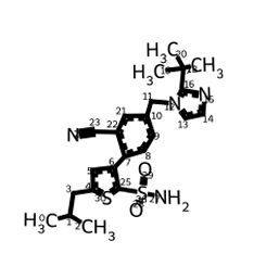 CC(C)Cc1cc(-c2ccc(Cn3ccnc3C(C)(C)C)cc2C#N)c(S(N)(=O)=O)s1